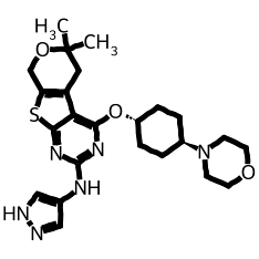 CC1(C)Cc2c(sc3nc(Nc4cn[nH]c4)nc(O[C@H]4CC[C@H](N5CCOCC5)CC4)c23)CO1